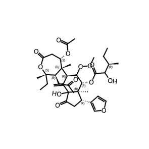 C=C1[C@@H]([C@@]2(C)[C@@H](OC(C)=O)CC(=O)O[C@@](C)(CC)[C@@H]2CC(C)=O)C(OOC)[C@H](OC(=O)C(O)[C@H](C)CC)[C@@]2(C)[C@H](c3ccoc3)CC(=O)C12O